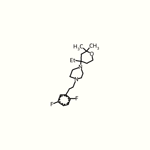 CCC1(N2CCN(CCc3cc(F)ccc3F)CC2)CCOC(C)(C)C1